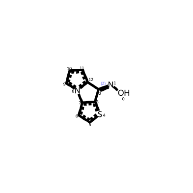 O/N=C1\c2sccc2-n2cccc21